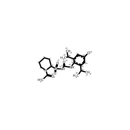 CC(=O)N1CCCCC1S(=O)(=O)NC(=O)Nc1c(C(C)C)cc(Cl)cc1C(C)C